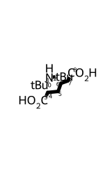 CC(C)(C)NC(C)(C)C.O=C(O)CCCCC(=O)O